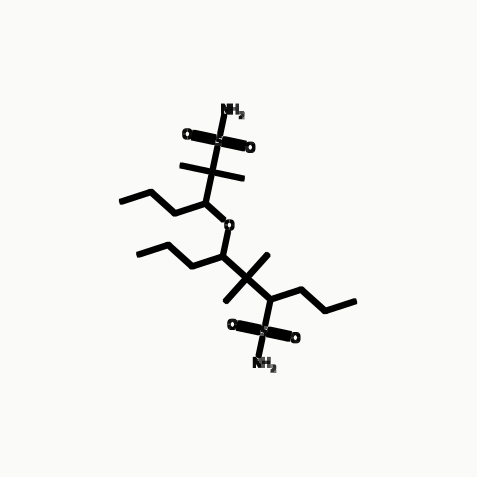 CCCC(OC(CCC)C(C)(C)S(N)(=O)=O)C(C)(C)C(CCC)S(N)(=O)=O